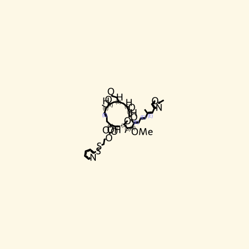 CO[C@@H](/C(C)=C/C=C/C(C)=C/c1coc(C)n1)[C@@H](C)[C@@H]1C[C@H](OC(=O)OCCSSc2ccccn2)[C@@](C)(O)C/C=C/[C@@H](C)[C@H]2C[C@H](CC(=O)O2)C[C@@H]2O[C@H]2C(=O)O1